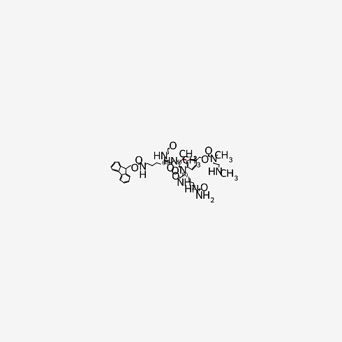 CNCCN(C)C(=O)OCc1ccc(N(C(=O)[C@@H](NC(=O)[C@H](CCCCNC(=O)OCC2c3ccccc3-c3ccccc32)NCC=O)C(C)C)[C@H](CCCNC(N)=O)C(N)=O)cc1